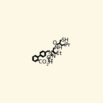 CCOc1nc(CC)c(CNC(=O)C(CS)CC(C)C)n1Cc1ccc(-c2ccccc2C(=O)O)cc1